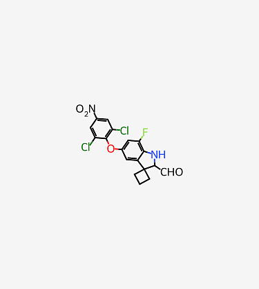 O=CC1Nc2c(F)cc(Oc3c(Cl)cc([N+](=O)[O-])cc3Cl)cc2C12CCC2